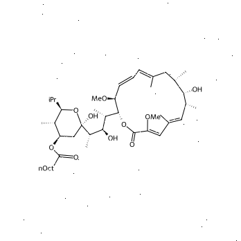 CCCCCCCCC(=O)O[C@@H]1C[C@](O)([C@@H](C)[C@H](O)[C@H](C)[C@H]2OC(=O)/C(OC)=C/C(C)=C/[C@@H](C)[C@@H](O)[C@@H](C)C/C(C)=C/C=C/[C@@H]2OC)O[C@H](C(C)C)[C@H]1C